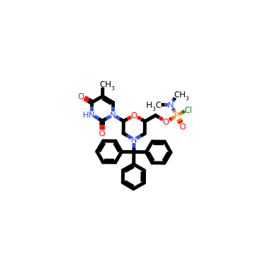 Cc1cn(C2CN(C(c3ccccc3)(c3ccccc3)c3ccccc3)CC(COP(=O)(Cl)N(C)C)O2)c(=O)[nH]c1=O